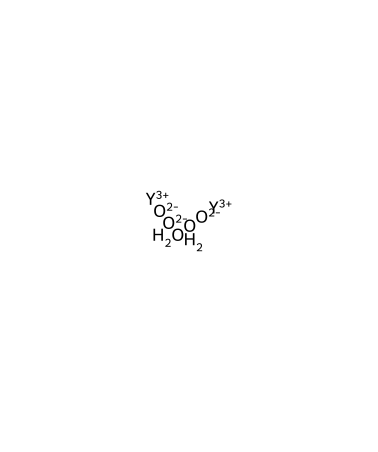 O.O.[O-2].[O-2].[O-2].[Y+3].[Y+3]